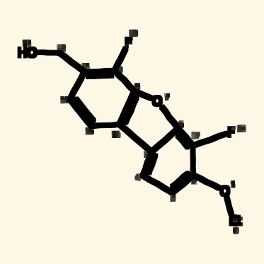 CCOc1ccc2c(oc3c(F)c(CO)ccc32)c1F